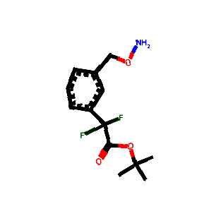 CC(C)(C)OC(=O)C(F)(F)c1cccc(CON)c1